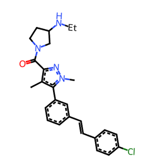 CCNC1CCN(C(=O)c2nn(C)c(-c3cccc(/C=C/c4ccc(Cl)cc4)c3)c2C)C1